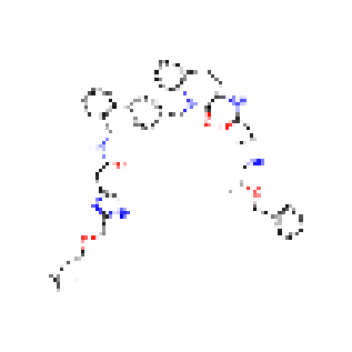 C[C@H](CNC(C)(C)CC(=O)N[C@@H]1CCc2ccccc2N(Cc2ccc(-c3ccccc3CNC(=O)Cc3c[nH]c(COCC[Si](C)(C)C)n3)cc2)C1=O)OCc1ccccc1